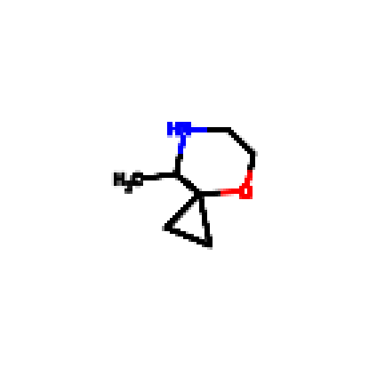 CC1NCCOC12CC2